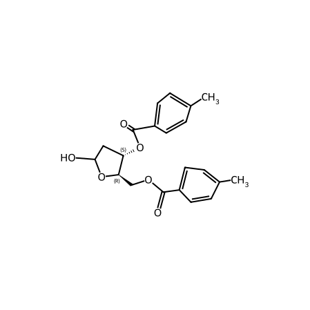 Cc1ccc(C(=O)OC[C@H]2OC(O)C[C@@H]2OC(=O)c2ccc(C)cc2)cc1